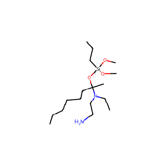 CCCCCCC(C)(O[Si](CCC)(OC)OC)N(CC)CCN